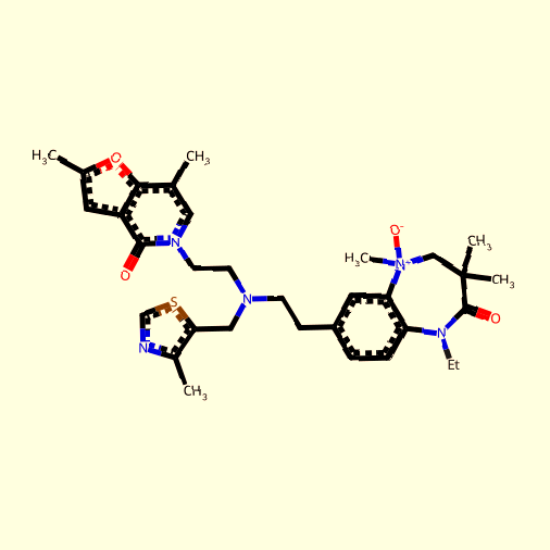 CCN1C(=O)C(C)(C)C[N+](C)([O-])c2cc(CCN(CCn3cc(C)c4oc(C)cc4c3=O)Cc3scnc3C)ccc21